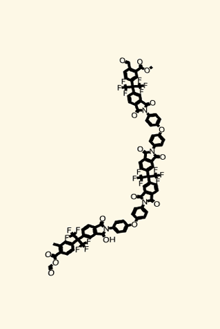 COC(=O)c1cc(C(c2ccc3c(c2)C(=O)N(c2ccc(Oc4ccc(N5C(=O)c6ccc(C(c7ccc8c(c7)C(=O)N(c7ccc(Oc9ccc(N%10C(=O)c%11ccc(C(c%12ccc(C(=O)OC=O)c(C)c%12)(C(F)(F)F)C(F)(F)F)cc%11C%10O)cc9)cc7)C8=O)(C(F)(F)F)C(F)(F)F)cc6C5=O)cc4)cc2)C3=O)(C(F)(F)F)C(F)(F)F)ccc1C=O